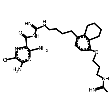 CC(=N)NCCCOc1ccc(CCCCNC(=N)NC(=O)c2nc(Cl)c(N)nc2N)c2c1CCCC2